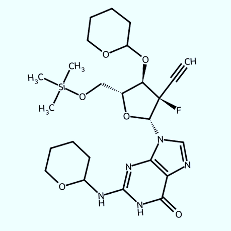 C#C[C@@]1(F)[C@H](OC2CCCCO2)[C@@H](CO[Si](C)(C)C)O[C@H]1n1cnc2c(=O)[nH]c(NC3CCCCO3)nc21